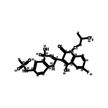 CC(CCn1c(=O)c(C2=NP(=O)(O)c3cc(NS(C)(=O)=O)ccc3N2)c(O)c2cc(F)ccc21)C(F)(F)F